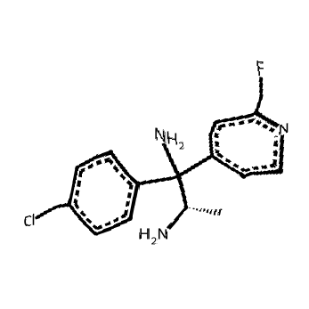 C[C@H](N)C(N)(c1ccc(Cl)cc1)c1ccnc(F)c1